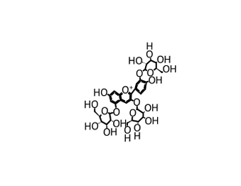 OC[C@H]1OC(Oc2cc(-c3[o+]c4cc(O)cc(OC5O[C@H](CO)[C@@H](O)[C@H](O)[C@H]5O)c4cc3OC3O[C@H](CO)[C@@H](O)[C@H](O)[C@H]3O)ccc2O)[C@H](O)[C@@H](O)[C@@H]1O